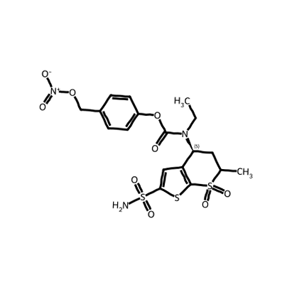 CCN(C(=O)Oc1ccc(CO[N+](=O)[O-])cc1)[C@H]1CC(C)S(=O)(=O)c2sc(S(N)(=O)=O)cc21